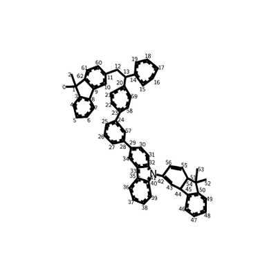 CC1(C)c2ccccc2-c2cc(CC(c3ccccc3)c3ccc(-c4cccc(-c5ccc6c(c5)c5ccccc5n6C5=CC6c7ccccc7C(C)(C)C6C=C5)c4)cc3)ccc21